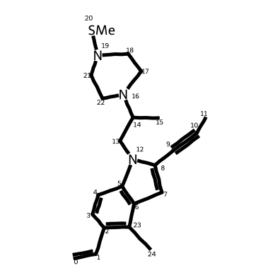 C=Cc1ccc2c(cc(C#CC)n2CC(C)N2CCN(SC)CC2)c1C